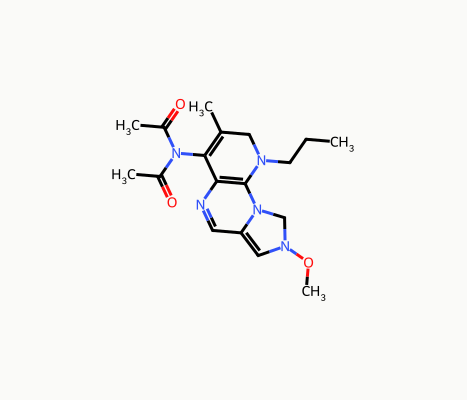 CCCN1CC(C)=C(N(C(C)=O)C(C)=O)C2=C1N1CN(OC)C=C1C=N2